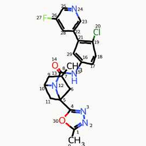 Cc1nnc(C23CC(C)CC(C2)N3C(=O)Nc2ccc(Cl)c(-c3cncc(F)c3)c2)o1